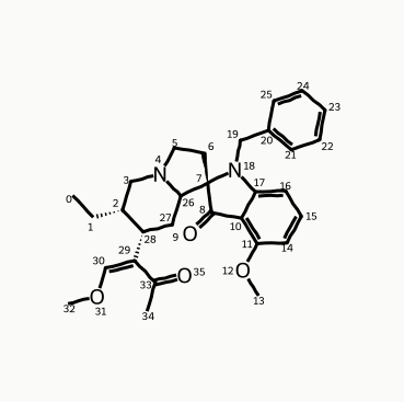 CC[C@@H]1CN2CC[C@@]3(C(=O)c4c(OC)cccc4N3Cc3ccccc3)C2C[C@@H]1C(=COC)C(C)=O